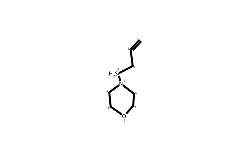 C=CC[SiH2]N1CCOCC1